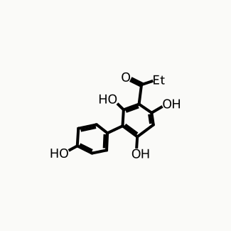 CCC(=O)c1c(O)cc(O)c(-c2ccc(O)cc2)c1O